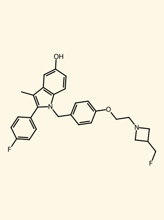 Cc1c(-c2ccc(F)cc2)n(Cc2ccc(OCCN3CC(CF)C3)cc2)c2ccc(O)cc12